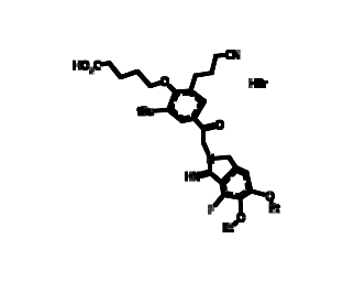 Br.CCOc1cc2c(c(F)c1OCC)C(=N)N(CC(=O)c1cc(CCCC#N)c(OCCCCC(=O)O)c(C(C)(C)C)c1)C2